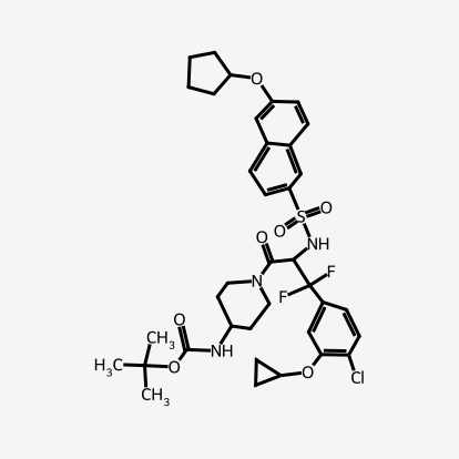 CC(C)(C)OC(=O)NC1CCN(C(=O)C(NS(=O)(=O)c2ccc3cc(OC4CCCC4)ccc3c2)C(F)(F)c2ccc(Cl)c(OC3CC3)c2)CC1